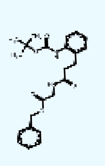 CC(C)(C)OC(=O)Nc1ccccc1CCC(=O)NCC(=O)OCc1ccccc1